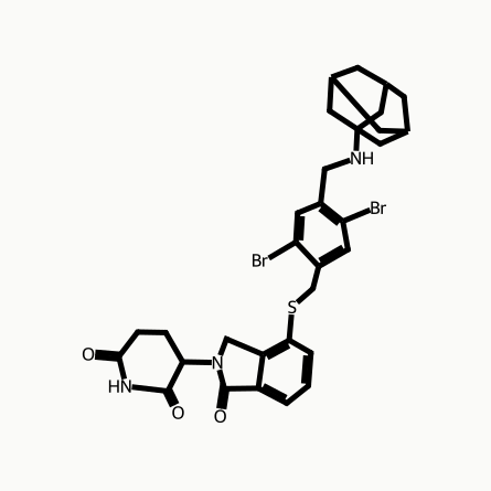 O=C1CCC(N2Cc3c(SCc4cc(Br)c(CNC56CC7CC(CC(C7)C5)C6)cc4Br)cccc3C2=O)C(=O)N1